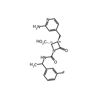 CC(NC(=O)N1C(=O)[C@H](Cc2ccnc(N)c2)[C@H]1C(=O)O)c1cccc(F)c1